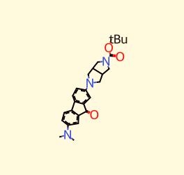 CN(C)c1ccc2c(c1)C(=O)c1cc(N3CC4CN(C(=O)OC(C)(C)C)CC4C3)ccc1-2